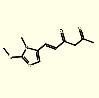 CSc1ncc(/C=C/C(=O)CC(C)=O)n1C